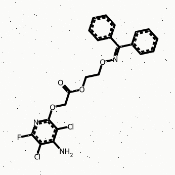 Nc1c(Cl)c(F)nc(OCC(=O)OCCON=C(c2ccccc2)c2ccccc2)c1Cl